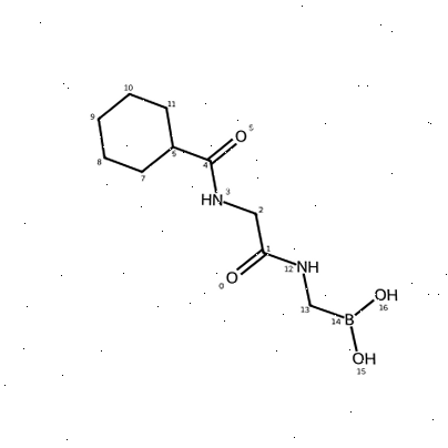 O=C(CNC(=O)C1CCCCC1)NCB(O)O